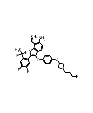 C=Cc1c(N)ccc2c(Oc3ccc(OC4CN(CCCF)C4)cc3)c(-c3cc(F)c(F)cc3C(C)(F)F)sc12